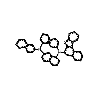 c1ccc(N(c2ccc3ccccc3c2)c2ccc3cccc(N(c4ccccc4)c4cc5ccccc5c5c4sc4ccccc45)c3c2)cc1